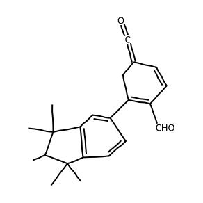 CC1C(C)(C)c2ccc(C3=C(C=O)C=CC(=C=O)C3)cc2C1(C)C